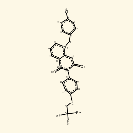 O=c1nc2n(Cc3ccc(Cl)nc3)cccc-2c(=O)n1-c1ccc(OCC(F)(F)F)cc1